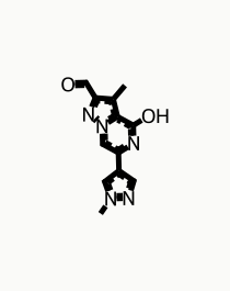 Cc1c(C=O)nn2cc(-c3cnn(C)c3)nc(O)c12